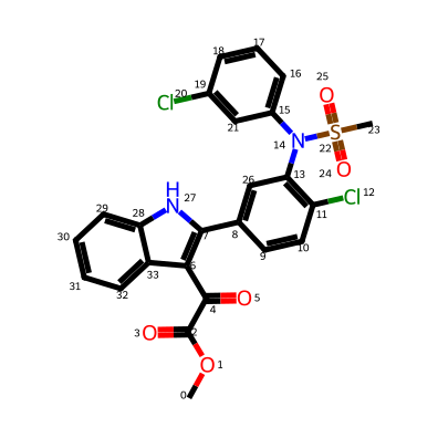 COC(=O)C(=O)c1c(-c2ccc(Cl)c(N(c3cccc(Cl)c3)S(C)(=O)=O)c2)[nH]c2ccccc12